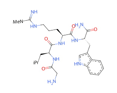 CNC(=N)NCCC[C@H](NC(=O)[C@H](CC(C)C)NC(=O)CN)C(=O)N[C@@H](Cc1c[nH]c2ccccc12)C(N)=O